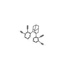 C#Cc1cccc(C2C3CC4CC(C3)CC2(c2cccc(C#C)c2C#C)C4)c1C#C